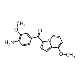 COc1cc(C(=O)c2ncc3c(OC)cccn23)ccc1N